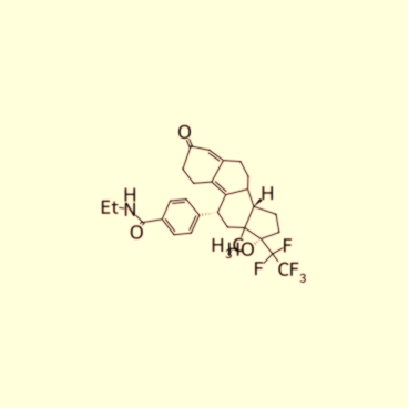 CCNC(=O)c1ccc([C@H]2CC3(C)[C@@H](CC[C@@]3(O)C(F)(F)C(F)(F)F)C3CCC4=CC(=O)CCC4=C32)cc1